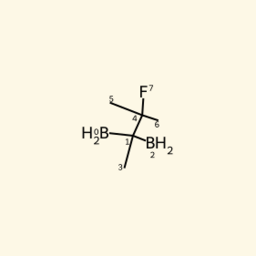 BC(B)(C)C(C)(C)F